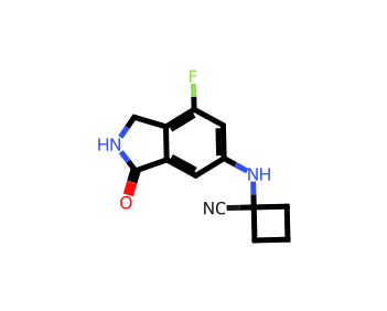 N#CC1(Nc2cc(F)c3c(c2)C(=O)NC3)CCC1